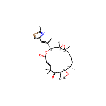 CC(=Cc1csc(C)n1)[C@@H]1C[C@@H]2O[C@]2(C)CCC[C@H](C)[C@@H](OC=O)[C@@H](C)C(=O)C(C)(C)/C=C/C(=O)O1